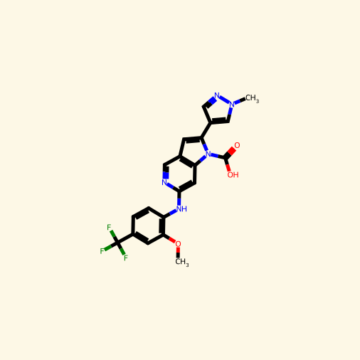 COc1cc(C(F)(F)F)ccc1Nc1cc2c(cn1)cc(-c1cnn(C)c1)n2C(=O)O